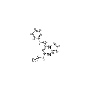 CCSCc1cc(OCc2ccccc2)n2nccc2n1